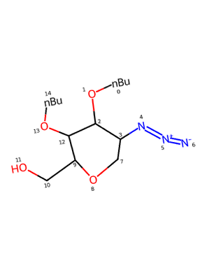 CCCCOC1C(N=[N+]=[N-])COC(CO)C1OCCCC